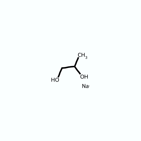 CC(O)CO.[Na]